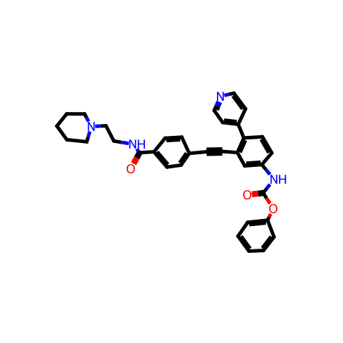 O=C(Nc1ccc(-c2ccncc2)c(C#Cc2ccc(C(=O)NCCN3CCCCC3)cc2)c1)Oc1ccccc1